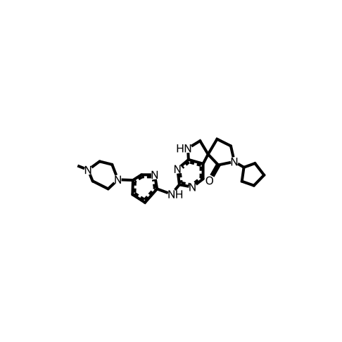 CN1CCN(c2ccc(Nc3ncc4c(n3)NCC43CCN(C4CCCC4)C3=O)nc2)CC1